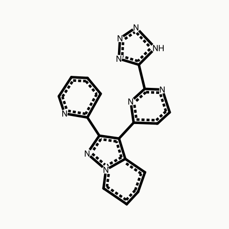 c1ccc(-c2nn3ccccc3c2-c2ccnc(-c3nnn[nH]3)n2)nc1